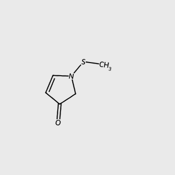 CSN1C=CC(=O)C1